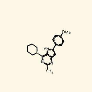 COc1ccc(-c2cc3nc(C)nc(N4CCCCC4)c3[nH]2)cc1